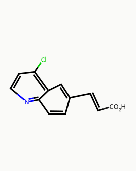 O=C(O)/C=C/c1ccc2nccc(Cl)c2c1